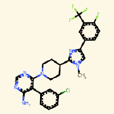 Cn1cc(-c2ccc(F)c(C(F)(F)F)c2)nc1C1CCN(c2ncnc(N)c2-c2cccc(Cl)c2)CC1